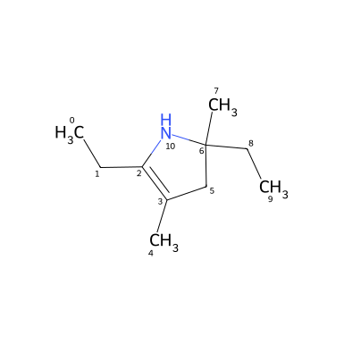 CCC1=C(C)CC(C)(CC)N1